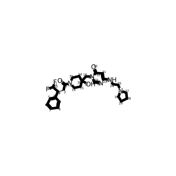 O=C(C[C@H](c1ccccc1)C(F)F)N1CCC(O)(Cn2cnc(NCCN3CCCC3)cc2=O)CC1